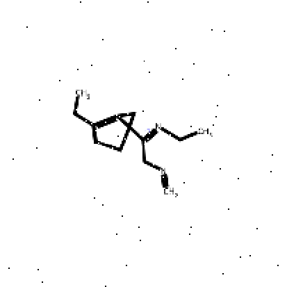 C=NC/C(=N\CC)C12CCC(CC)=C1C2